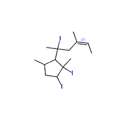 C/C=C(/C)CC(C)(I)C1C(C)CC(I)C1(C)I